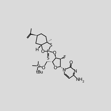 C=C(C)[C@H]1CC[C@@]2(C)SP(=S)(O[C@H]3[C@@H](F)[C@H](n4ccc(N)nc4=O)O[C@@H]3CO[Si](C)(C)C(C)(C)C)O[C@@H]2C1